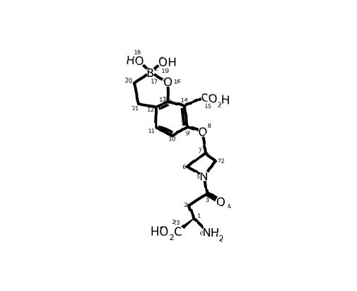 N[C@H](CC(=O)N1CC(Oc2ccc3c(c2C(=O)O)O[B-](O)(O)CC3)C1)C(=O)O